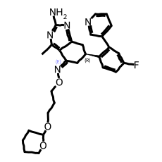 Cc1nc(N)nc2c1/C(=N/OCCCOC1CCCCO1)C[C@H](c1ccc(F)cc1-c1cccnc1)C2